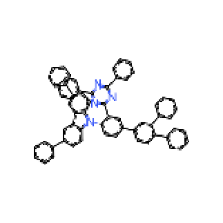 c1ccc(-c2ccc3c(c2)c2cc(-c4ccccc4)ccc2n3-c2ccc(-c3ccc(-c4ccccc4)c(-c4ccccc4)c3)cc2-c2nc(-c3ccccc3)nc(-c3ccccc3)n2)cc1